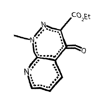 CCOC(=O)c1nn(C)c2ncccc2c1=O